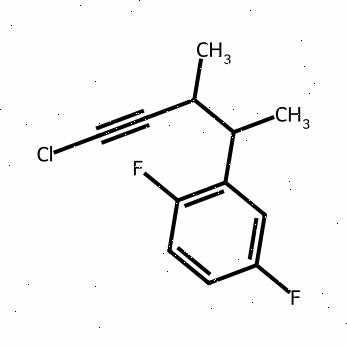 CC(C#CCl)C(C)c1cc(F)ccc1F